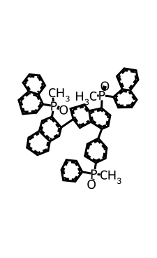 CP(=O)(c1ccccc1)c1ccc(-c2ccc(P(C)(=O)c3cccc4ccccc34)c3ccc(-c4cc5ccccc5cc4P(C)(=O)c4cccc5ccccc45)cc23)cc1